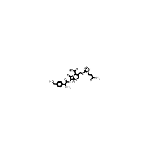 NC(=O)CCn1nnnc1SCC1=C(C(=O)O)N2C(=O)C(NC(=O)C(N)c3ccc(CO)cc3)[C@H]2SC1